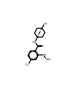 CSNc1cc(C(F)(F)F)ccc1C(=O)NC12CCC(C#N)(CC1)CC2